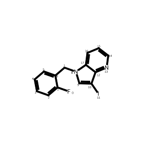 Fc1ccccc1Cn1cc(I)c2ncccc21